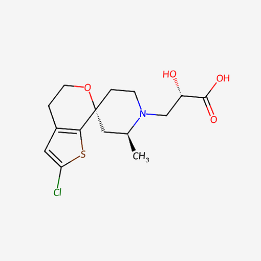 C[C@H]1C[C@@]2(CCN1C[C@H](O)C(=O)O)OCCc1cc(Cl)sc12